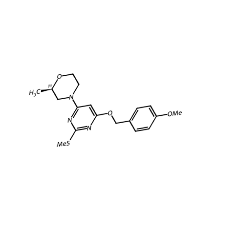 COc1ccc(COc2cc(N3CCO[C@H](C)C3)nc(SC)n2)cc1